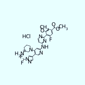 COC(=O)c1cc(F)c(-c2nccc(Nc3cc(N4CCC[C@H](N)C4)c(-c4cnn(C(F)F)c4)cn3)n2)c(OC)c1.Cl